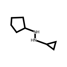 C1CCC(NNC2CC2)C1